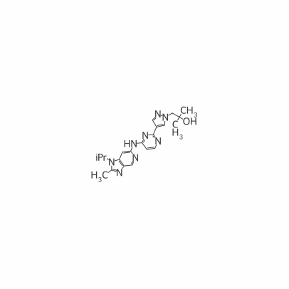 Cc1nc2cnc(Nc3ccnc(-c4cnn(CC(C)(C)O)c4)n3)cc2n1C(C)C